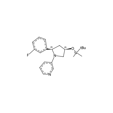 CC(C)(C)[Si](C)(C)O[C@@H]1C[C@H](c2cccc(F)c2)N(c2cccnc2)C1